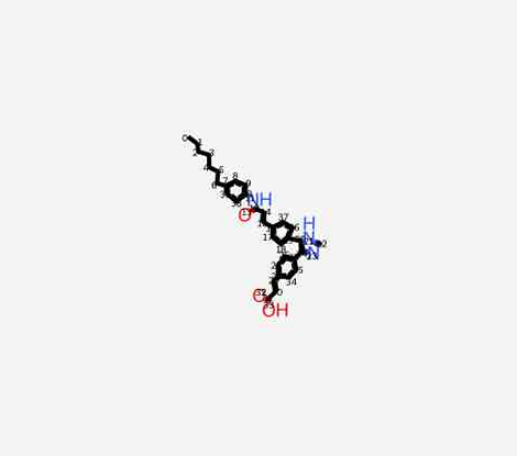 CCCCCCCc1ccc(NC(=O)/C=C/c2ccc(-c3[nH]cnc3-c3ccc(/C=C/C(=O)O)cc3)cc2)cc1